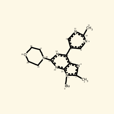 CCC(C)n1c(C)nc2c(-c3cnc(C)nc3)nc(N3CCOCC3)nc21